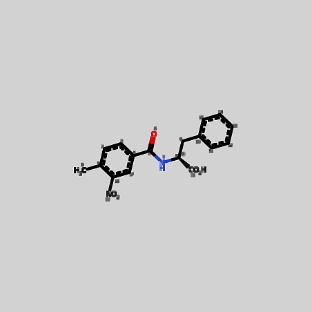 Cc1ccc(C(=O)N[C@@H](Cc2ccccc2)C(=O)O)cc1[N+](=O)[O-]